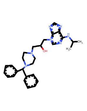 CC(C)Nc1ncn(CC(O)CN2CCN(C(c3ccccc3)c3ccccc3)CC2)c2ncnc1-2